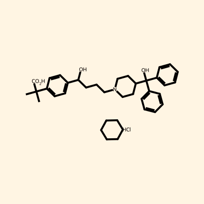 C1CCCCC1.CC(C)(C(=O)O)c1ccc(C(O)CCCN2CCC(C(O)(c3ccccc3)c3ccccc3)CC2)cc1.Cl